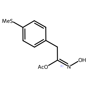 CSc1ccc(C/C(=N\O)OC(C)=O)cc1